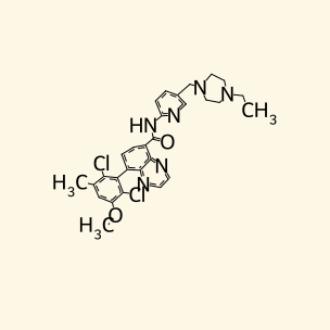 CCN1CCN(Cc2ccc(NC(=O)c3ccc(-c4c(Cl)c(C)cc(OC)c4Cl)c4nccnc34)nc2)CC1